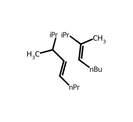 CCCC=CC(C)C(C)C.CCCCC=C(C)C(C)C